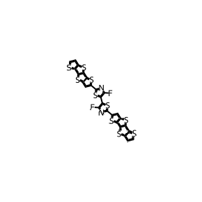 Fc1nc(-c2cc3sc4c5sccc5sc4c3s2)sc1-c1sc(-c2cc3sc4c5sccc5sc4c3s2)nc1F